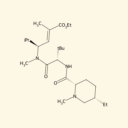 CCOC(=O)/C(C)=C/[C@H](C(C)C)N(C)C(=O)[C@@H](NC(=O)[C@@H]1CC[C@H](CC)CN1C)C(C)(C)C